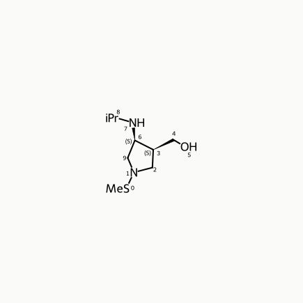 CSN1C[C@H](CO)[C@H](NC(C)C)C1